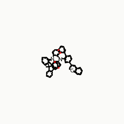 CC1(C)c2ccccc2-c2ccc(N(c3cc(-c4ccc5ccccc5c4)ccc3-c3ccccc3)c3ccccc3-n3c4ccccc4c4ccccc43)cc21